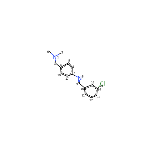 CN(C)Cc1ccc(N=Cc2cccc(Cl)c2)cc1